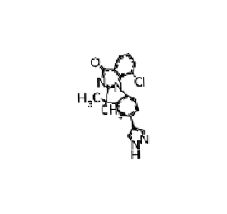 CC1(C)c2cc(-c3cn[nH]c3)ccc2-n2c1nc(=O)c1cccc(Cl)c12